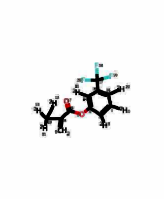 [2H]c1c([2H])c(OC(=O)C(=C)C([2H])([2H])[2H])c([2H])c(C(F)(F)F)c1[2H]